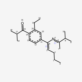 CCC/C=C(\N=C(/C)C(C)C)c1ccc(C(=O)C(C)C)c(CC)c1